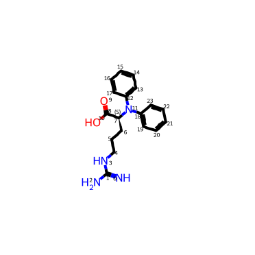 N=C(N)NCCC[C@@H](C(=O)O)N(c1ccccc1)c1ccccc1